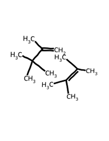 C=C(C)C(C)(C)C.CC(C)=C(C)C